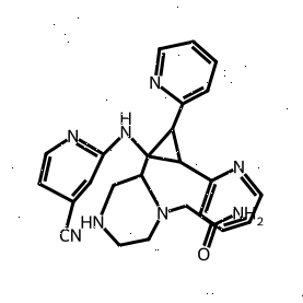 N#Cc1ccnc(NC2(C3CNCCN3CC(N)=O)C(c3ccccn3)C2c2ccccn2)c1